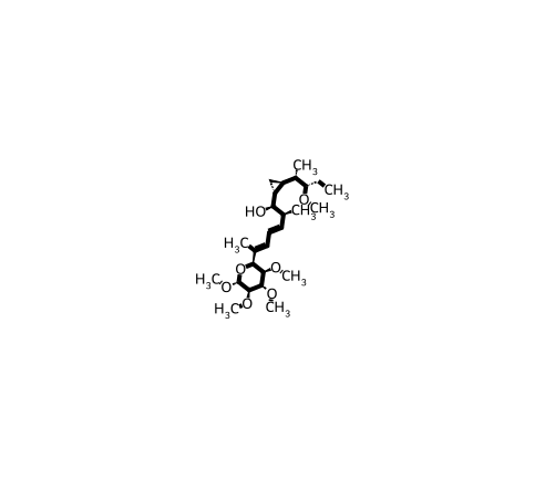 CC[C@H](OC)[C@@H](C)[C@@H]1C[C@H]1[C@H](O)[C@@H](C)/C=C/C=C(\C)[C@@H]1O[C@@H](OC)[C@H](OC)[C@@H](OC)[C@@H]1OC